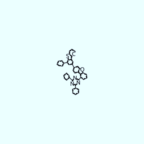 c1ccc(-c2nc(-c3ccccc3)nc(-c3cccc4oc5cc(-c6cc(-c7ccccc7)c7sc8ccccc8c7c6)ccc5c34)n2)cc1